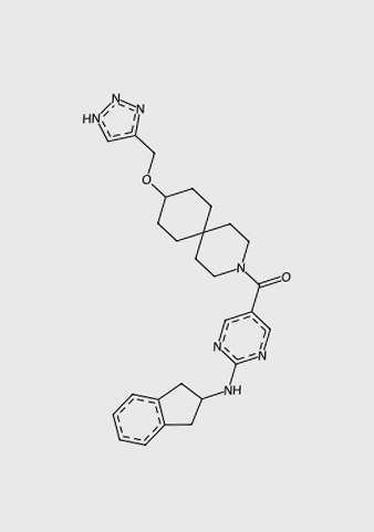 O=C(c1cnc(NC2Cc3ccccc3C2)nc1)N1CCC2(CCC(OCc3c[nH]nn3)CC2)CC1